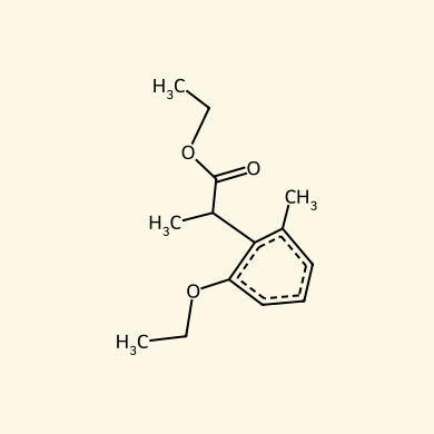 CCOC(=O)C(C)c1c(C)cccc1OCC